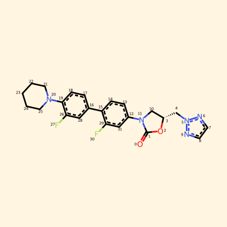 O=C1O[C@@H](Cn2nccn2)CN1c1ccc(-c2ccc(N3CCCCC3)c(F)c2)c(F)c1